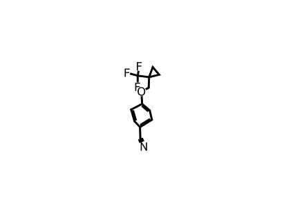 N#Cc1ccc(OCC2(C(F)(F)F)CC2)cc1